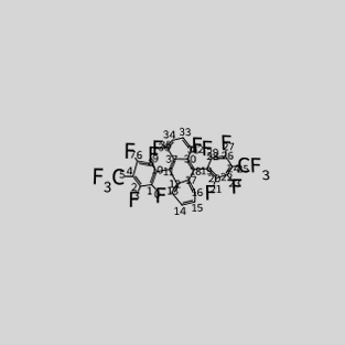 Fc1c(F)c(C(F)(F)F)c(F)c(F)c1-c1c2ccccc2c(-c2c(F)c(F)c(C(F)(F)F)c(F)c2F)c2c(F)ccc(F)c12